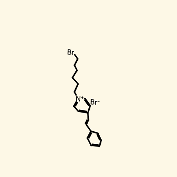 BrCCCCCC[n+]1ccc(C=Cc2ccccc2)cc1.[Br-]